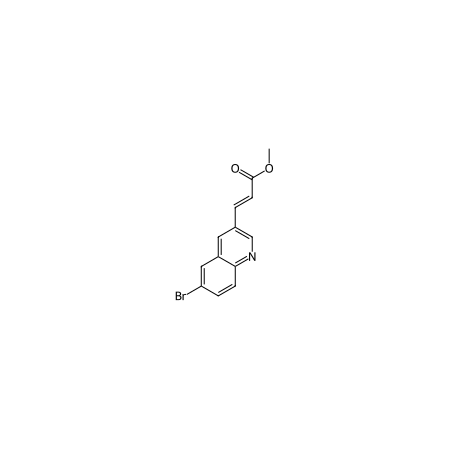 COC(=O)/C=C/c1cnc2ccc(Br)cc2c1